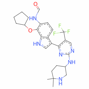 CC1(C)CCC(Nc2ncc(C(F)(F)F)c(-c3c[nH]c4c(OC5CCCC5)c(NC=O)ccc34)n2)CN1